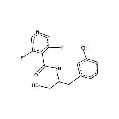 Cc1cccc(CC(CO)NC(=O)c2c(F)cncc2F)c1